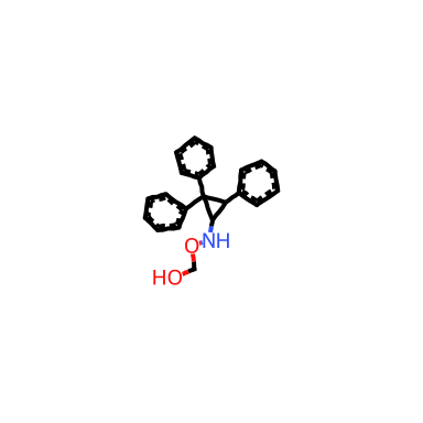 OCONC1C(c2ccccc2)C1(c1ccccc1)c1ccccc1